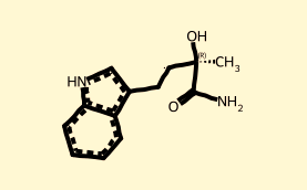 C[C@@](O)([CH]Cc1c[nH]c2ccccc12)C(N)=O